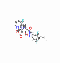 Cc1c(F)ccc(CNC(=O)c2cn3c(c(O)c2=O)C(=O)N2CCC=C(F)[C@H]3C2)c1F